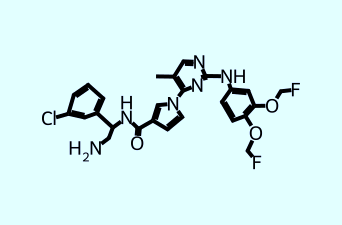 Cc1cnc(Nc2ccc(OCF)c(OCF)c2)nc1-n1ccc(C(=O)NC(CN)c2cccc(Cl)c2)c1